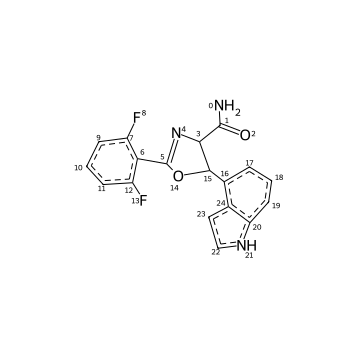 NC(=O)C1N=C(c2c(F)cccc2F)OC1c1cccc2[nH]ccc12